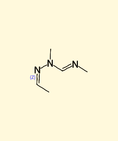 C/C=N\N(C)C=NC